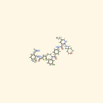 Cc1cnc(N2CC3(CCOCC3)C2)c(C(=O)Nc2ccc(C(=O)N3CCc4cc(C(=O)Nc5c(C)cccc5C5CN5)sc4-c4ccc(F)cc43)cc2)c1